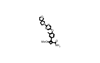 COC12CC(C(N)=O)(C1)C2c1ccc(Oc2cnc(N3CCC4(CCOC4)C3)nc2)c(C)c1